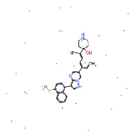 C=C/C(=C\C=C(/CCC)C1(O)CCNCC1)c1cnc2c(-c3ccc(SN)c4ccccc34)cnn2c1